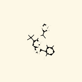 CC(Oc1nn2c(-c3c(F)ccc(F)c3F)nnc2cc1C(C)(C)C)c1nc[nH]n1